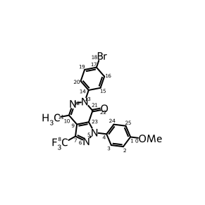 COc1ccc(-n2nc(C(F)(F)F)c3c(C)nn(-c4ccc(Br)cc4)c(=O)c32)cc1